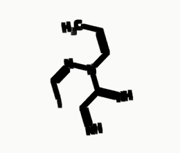 C/C=C\N(/N=C\I)C(=N)C=N